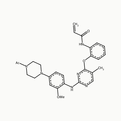 C=CC(=O)Nc1ccccc1Oc1nc(Nc2ccc(N3CCN(C(C)=O)CC3)cc2OC)ncc1C